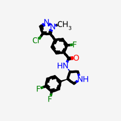 Cn1ncc(Cl)c1-c1ccc(C(=O)N[C@@H]2CNC[C@H]2c2ccc(F)c(F)c2)c(F)c1